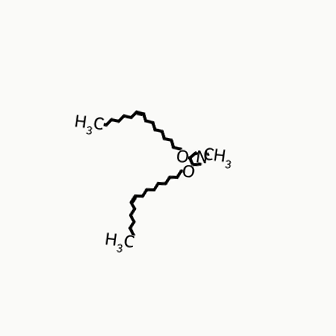 CCCCCC/C=C\CCCCCCCCOC1CN(C)CC1OCCCCCCCC/C=C\CCCCCC